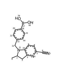 CC1Cc2nc(C#N)ccc2N1Cc1ccc(B(O)O)cc1